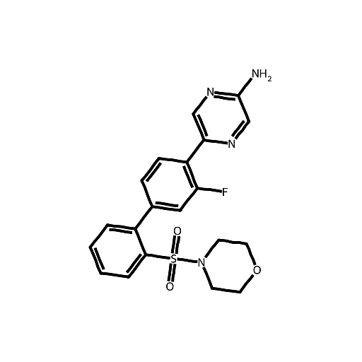 Nc1cnc(-c2ccc(-c3ccccc3S(=O)(=O)N3CCOCC3)cc2F)cn1